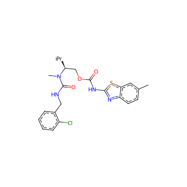 Cc1ccc2nc(NC(=O)OC[C@H](C(C)C)N(C)C(=O)NCc3ccccc3Cl)sc2c1